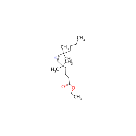 CCCCC(C)(C)/C=C\C(C)(C)CCCC(=O)OCC